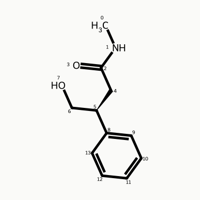 CNC(=O)C[C@H](CO)c1ccccc1